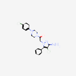 Nc1nn(CC(=O)N2CCN(c3ccc(Cl)cc3)CC2)c(-c2ccccc2)c1Cl